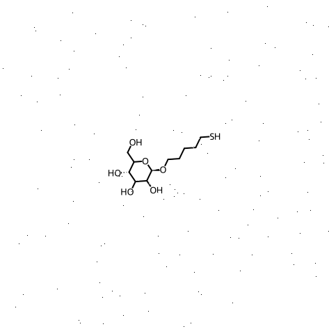 OCC1O[C@@H](OCCCCCS)C(O)C(O)[C@@H]1O